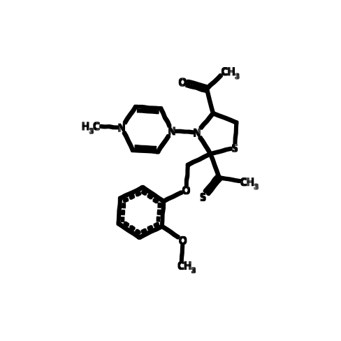 COc1ccccc1OCC1(C(C)=S)SCC(C(C)=O)N1N1C=CN(C)C=C1